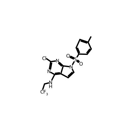 Cc1ccc(S(=O)(=O)n2ccc3c(NCC(F)(F)F)nc(Cl)nc32)cc1